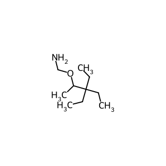 CCC(CC)(CC)C(C)OCN